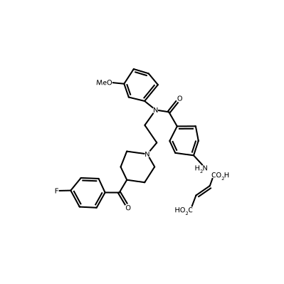 COc1cccc(N(CCN2CCC(C(=O)c3ccc(F)cc3)CC2)C(=O)c2ccc(N)cc2)c1.O=C(O)C=CC(=O)O